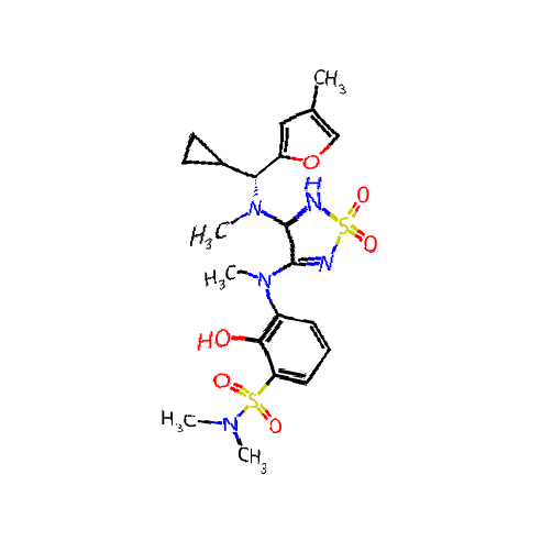 Cc1coc([C@@H](C2CC2)N(C)C2NS(=O)(=O)N=C2N(C)c2cccc(S(=O)(=O)N(C)C)c2O)c1